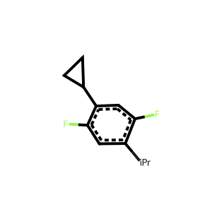 CC(C)c1cc(F)c(C2CC2)cc1F